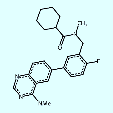 CNc1ncnc2ccc(-c3ccc(F)c(CN(C)C(=O)C4CCCCC4)c3)cc12